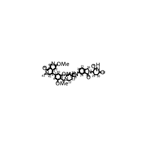 COc1cc2c(-c3cc(OC)c(CN4CCC5(CC4)CN(c4ccc6c(c4)C(=O)N(C4CCC(=O)NC4=O)C6)C5)c(OC)c3)cn(C)c(=O)c2cn1